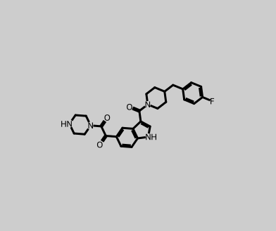 O=C(C(=O)N1CCNCC1)c1ccc2[nH]cc(C(=O)N3CCC(Cc4ccc(F)cc4)CC3)c2c1